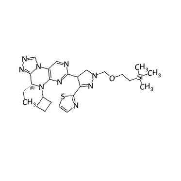 CC[C@@H]1c2nncn2-c2cnc(C3CN(COCC[Si](C)(C)C)N=C3c3nccs3)nc2N1C1CCC1